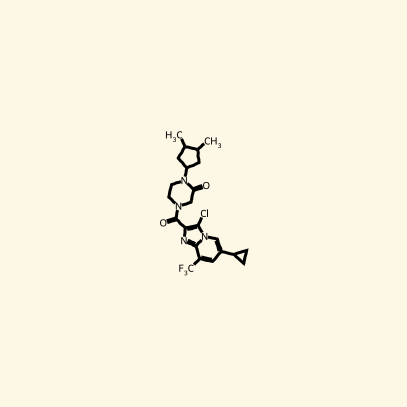 CC1CC(N2CCN(C(=O)c3nc4c(C(F)(F)F)cc(C5CC5)cn4c3Cl)CC2=O)CC1C